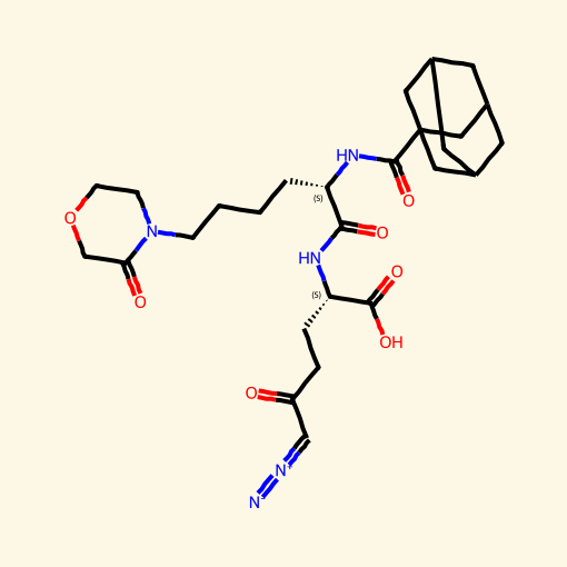 [N-]=[N+]=CC(=O)CC[C@H](NC(=O)[C@H](CCCCN1CCOCC1=O)NC(=O)C12CC3CC(CC(C3)C1)C2)C(=O)O